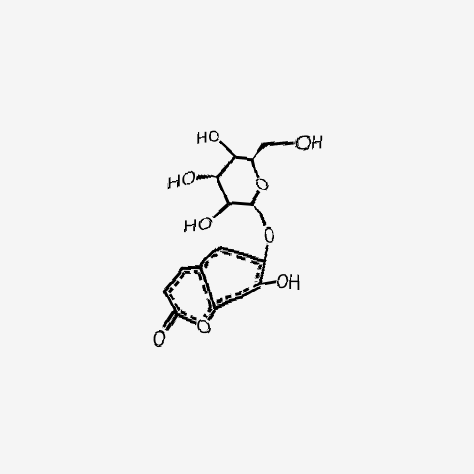 O=c1ccc2cc(O[C@@H]3O[C@H](CO)C(O)[C@H](O)C3O)c(O)cc2o1